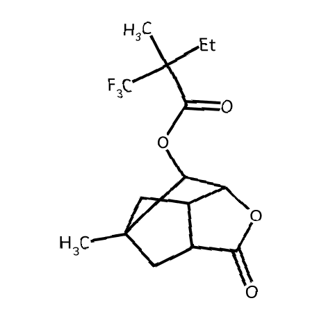 CCC(C)(C(=O)OC1C2OC(=O)C3CC1(C)CC32)C(F)(F)F